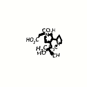 C#CC(C)(O)Cc1ccncc1C1CCCN1C.O=C(O)C=CC(=O)O